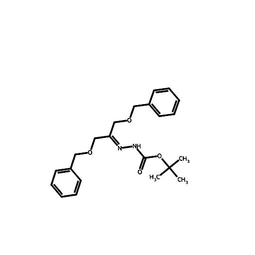 CC(C)(C)OC(=O)NN=C(COCc1ccccc1)COCc1ccccc1